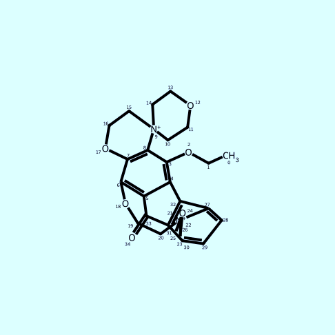 CCOc1c2c3c(c4c1[N+]1(CCOCC1)CCO4)OCC[N+]1(CCOCC1)c1cccc(c1-2)C3=O